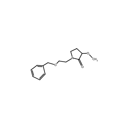 COC1CCN(CCOCc2ccccc2)C1=O